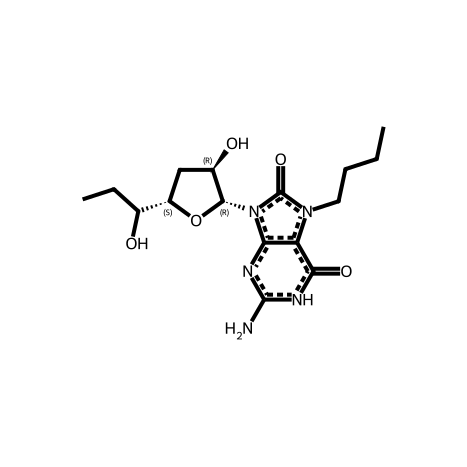 CCCCn1c(=O)n([C@@H]2O[C@H](C(O)CC)C[C@H]2O)c2nc(N)[nH]c(=O)c21